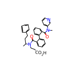 CC(CCc1ccccc1)N(CCC(=O)O)C(=O)c1ccccc1-c1ccccc1C(=O)N(C)c1cccnc1